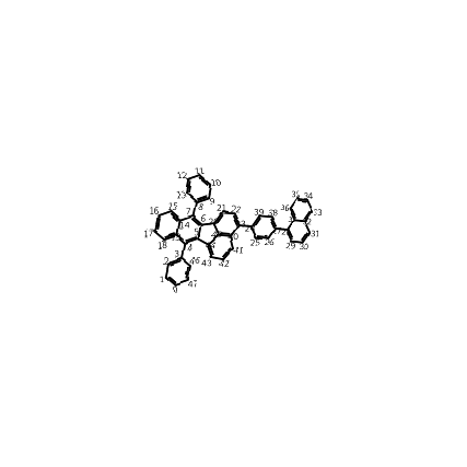 c1ccc(-c2c3c(c(-c4ccccc4)c4ccccc24)-c2ccc(-c4ccc(-c5cccc6ccccc56)cc4)c4cccc-3c24)cc1